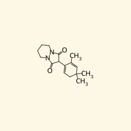 CC1=CC(C)(C)CC=C1C1C(=O)N2CCCCN2C1=O